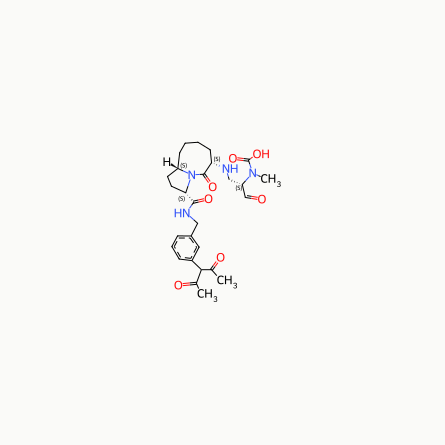 CC(=O)C(C(C)=O)c1cccc(CNC(=O)[C@@H]2CC[C@@H]3CCCC[C@H](NC[C@@H](C=O)N(C)C(=O)O)C(=O)N32)c1